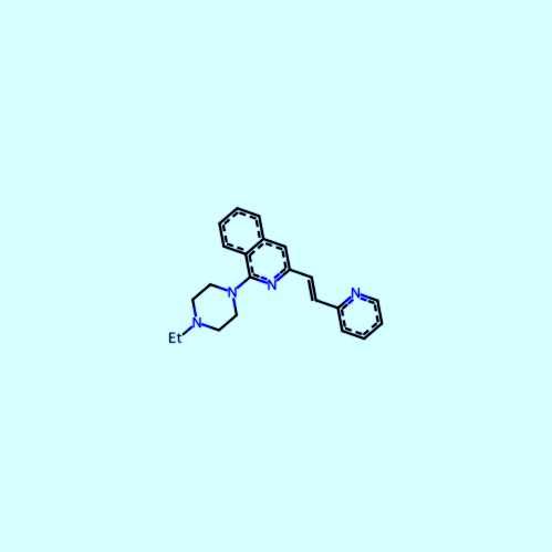 CCN1CCN(c2nc(C=Cc3ccccn3)cc3ccccc23)CC1